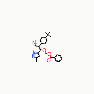 C/N=C\C(=C(\OCOC(=O)c1ccccc1)c1cc(C)nn1C)c1ccc(C(C)(C)C)cc1